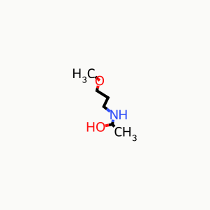 COCCCNC(C)O